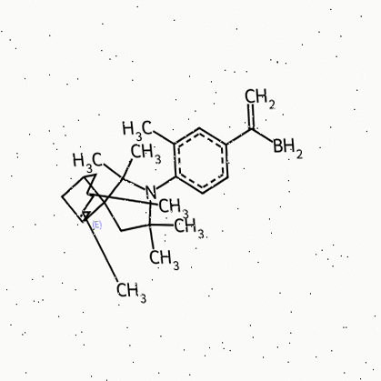 BC(=C)c1ccc(N2C(C)(C)CC3(/C4=C/C(C)CC(C)CC3C4)C2(C)C)c(C)c1